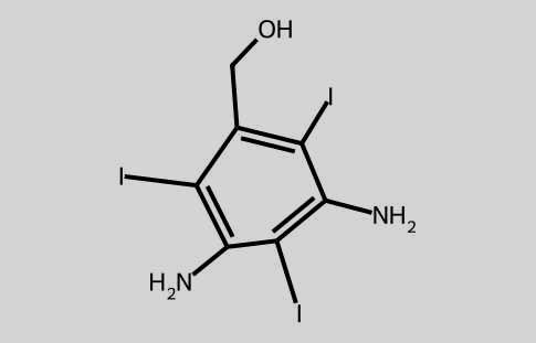 Nc1c(I)c(N)c(I)c(CO)c1I